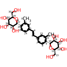 Cc1cc(/C=C/c2ccc([C@H]3O[C@H](CO)[C@@H](O)[C@H](O)[C@@H]3O)c(C)c2)ccc1[C@H]1O[C@H](CO)[C@@H](O)[C@H](O)[C@@H]1O